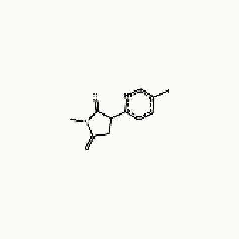 C=C1CC(c2ccc(I)cn2)C(=O)N1C